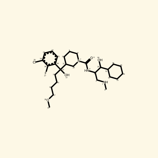 CNCC(NC(=O)N1CCCC(C(O)(CCCCOC)c2cccc(Cl)c2F)C1)C(O)C1CCCCC1